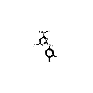 CCCc1cc(N(CC)CC)nc(Nc2ccc(C)c(Cl)c2)n1